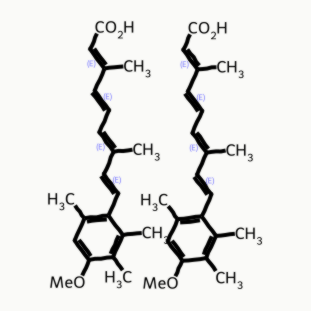 COc1cc(C)c(/C=C/C(C)=C/C=C/C(C)=C/C(=O)O)c(C)c1C.COc1cc(C)c(/C=C/C(C)=C/C=C/C(C)=C/C(=O)O)c(C)c1C